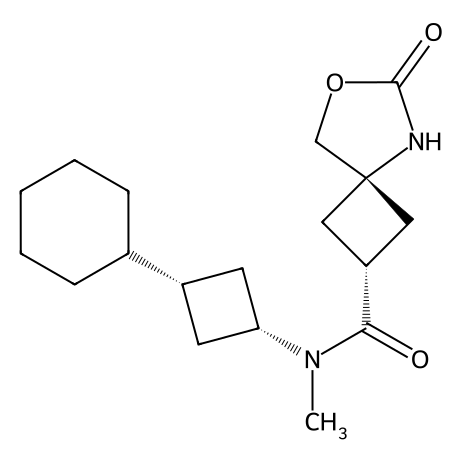 CN(C(=O)[C@H]1C[C@]2(COC(=O)N2)C1)[C@H]1C[C@@H](C2CCCCC2)C1